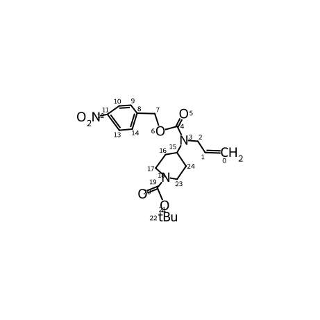 C=CCN(C(=O)OCc1ccc([N+](=O)[O-])cc1)C1CCN(C(=O)OC(C)(C)C)CC1